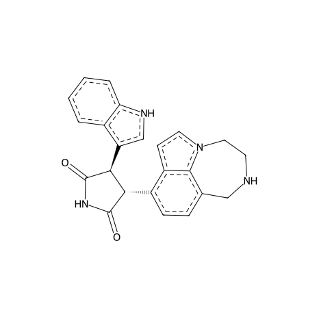 O=C1NC(=O)[C@@H](c2ccc3c4c2ccn4CCNC3)[C@@H]1c1c[nH]c2ccccc12